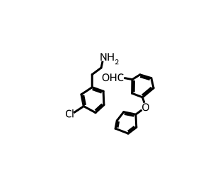 NCCc1cccc(Cl)c1.O=Cc1cccc(Oc2ccccc2)c1